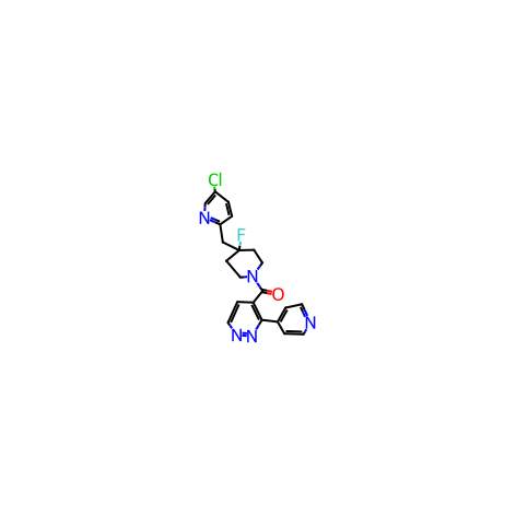 O=C(c1ccnnc1-c1ccncc1)N1CCC(F)(Cc2ccc(Cl)cn2)CC1